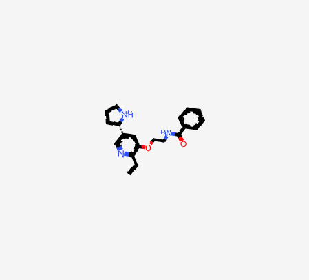 C=Cc1ncc([C@@H]2CCCN2)cc1OCCNC(=O)c1ccccc1